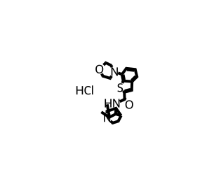 CC1(C)C(NC(=O)c2cc3cccc(N4CCOCC4)c3s2)C2CCN1CC2.Cl